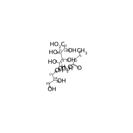 CCCC(C)=O.O=C(O)C(O)C(O)C(O)C(O)C(=O)O.OCC(O)CO